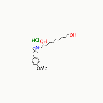 COc1ccc(CC(C)(C)NCC(O)CCCCCCCCO)cc1.Cl